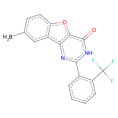 Bc1ccc2oc3c(=O)[nH]c(-c4ccccc4C(F)(F)F)nc3c2c1